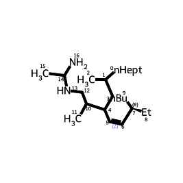 CCCCCCCC(C)CC(/C=C\[C@H](CC)CCCC)C(C)CNC(C)N